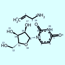 C=CCN.O=c1ccn([C@@H]2O[C@H](CO)[C@@H](O)[C@H]2O)c(=O)[nH]1